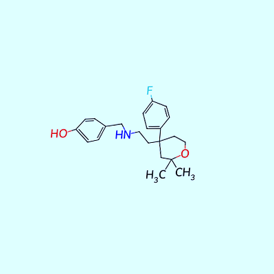 CC1(C)CC(CCNCc2ccc(O)cc2)(c2ccc(F)cc2)CCO1